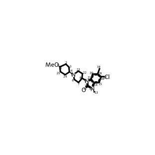 CO[C@H]1CC[C@@H](N2CCC(n3c(=O)n(C)c4cc(Cl)c(C)cc43)CC2)CC1